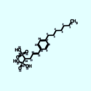 CCCCCCCc1ccc(/C=C/CC(P(=O)(O)O)S(=O)(=O)O)cc1